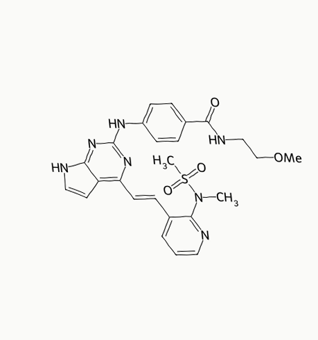 COCCNC(=O)c1ccc(Nc2nc(C=Cc3cccnc3N(C)S(C)(=O)=O)c3cc[nH]c3n2)cc1